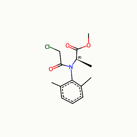 COC(=O)[C@@H](C)N(C(=O)CCl)c1c(C)cccc1C